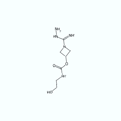 N=C(NN)N1CC(OC(=O)NCCO)C1